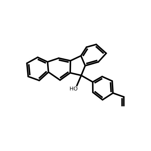 C=Cc1ccc(C2(O)c3ccccc3-c3cc4ccccc4cc32)cc1